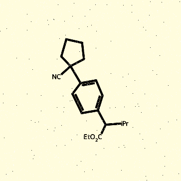 CCOC(=O)C(c1ccc(C2(C#N)CCCC2)cc1)C(C)C